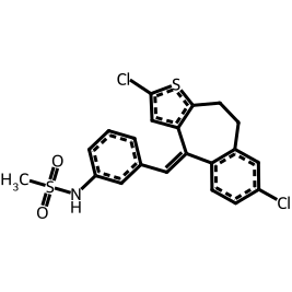 CS(=O)(=O)Nc1cccc(C=C2c3ccc(Cl)cc3CCc3sc(Cl)cc32)c1